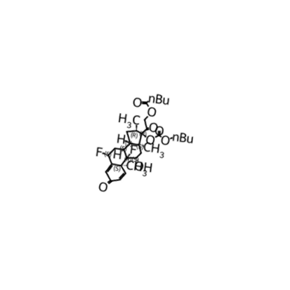 CCCCOC(=O)O[C@]1(C(=O)COC(=O)CCCC)[C@H](C)C[C@H]2[C@@H]3C[C@H](F)C4=CC(=O)C=C[C@]4(C)[C@@]3(F)[C@@H](O)C[C@@]21C